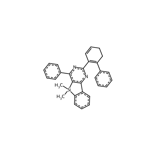 C[Si]1(C)c2ccccc2-c2nc(C3=C(c4ccccc4)CCC=C3)nc(-c3ccccc3)c21